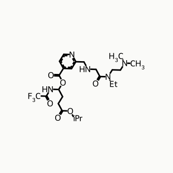 CCN(CCN(C)C)C(=O)CNCc1cc(C(=O)OC(CCC(=O)OC(C)C)NC(=O)C(F)(F)F)ccn1